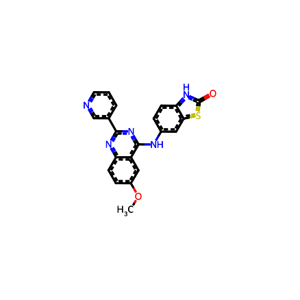 COc1ccc2nc(-c3cccnc3)nc(Nc3ccc4[nH]c(=O)sc4c3)c2c1